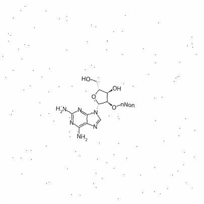 CCCCCCCCCO[C@@H]1[C@H](O)[C@@H](CO)O[C@H]1n1cnc2c(N)nc(N)nc21